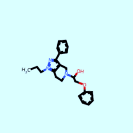 CCCn1nc(-c2ccccc2)c2c1CCN(C(O)COc1ccccc1)C2